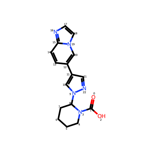 O=C(O)N1CCCCC1n1cc(-c2ccc3nccn3c2)cn1